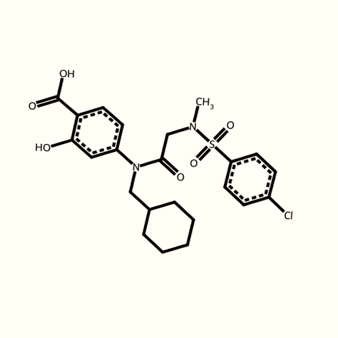 CN(CC(=O)N(CC1CCCCC1)c1ccc(C(=O)O)c(O)c1)S(=O)(=O)c1ccc(Cl)cc1